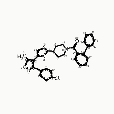 Cc1onc(-c2ccc(Cl)cc2)c1-c1csc(C2CCN(C(=O)c3ccccc3-c3ccccc3)CC2)n1